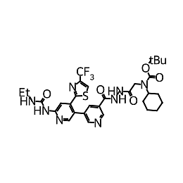 CCNC(=O)Nc1cc(-c2nc(C(F)(F)F)cs2)c(-c2cncc(C(=O)NNC(=O)CN(C(=O)OC(C)(C)C)C3CCCCC3)c2)cn1